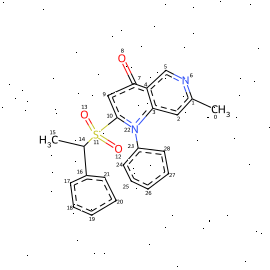 Cc1cc2c(cn1)c(=O)cc(S(=O)(=O)C(C)c1ccccc1)n2-c1ccccc1